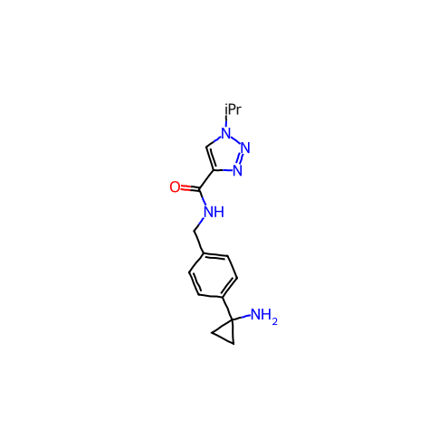 CC(C)n1cc(C(=O)NCc2ccc(C3(N)CC3)cc2)nn1